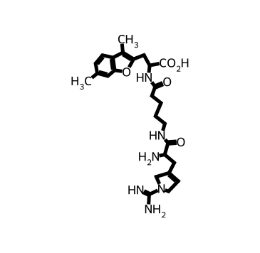 Cc1ccc2c(C)c(CC(NC(=O)CCCCNC(=O)C(N)CC3=CCN(C(=N)N)C3)C(=O)O)oc2c1